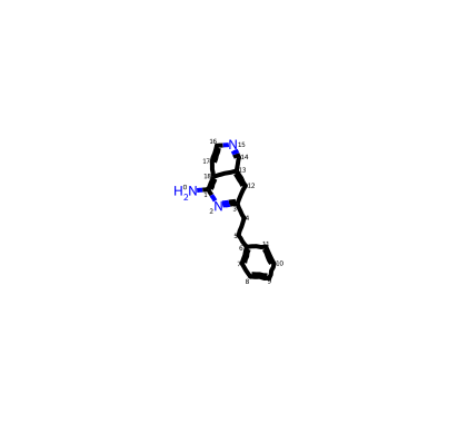 Nc1nc(CCc2ccccc2)cc2cnccc12